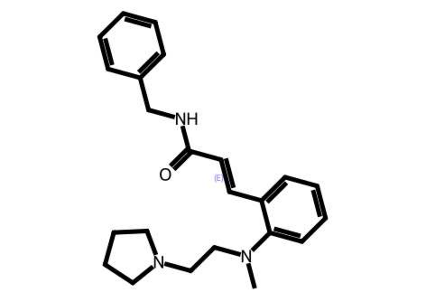 CN(CCN1CCCC1)c1ccccc1/C=C/C(=O)NCc1ccccc1